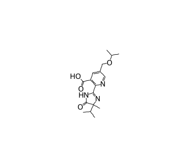 CC(C)OCc1cnc(C2=NC(C)(C(C)C)C(=O)N2)c(C(=O)O)c1